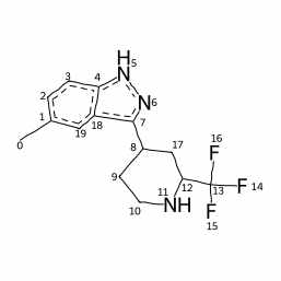 Cc1ccc2[nH]nc(C3CCNC(C(F)(F)F)C3)c2c1